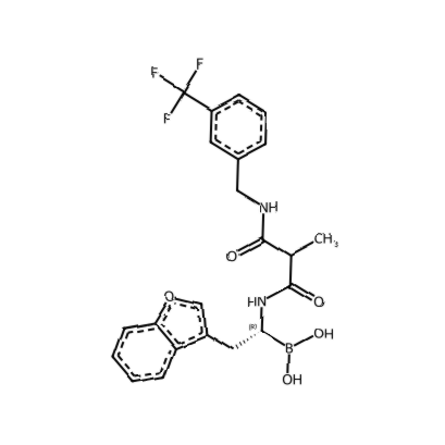 CC(C(=O)NCc1cccc(C(F)(F)F)c1)C(=O)N[C@@H](Cc1coc2ccccc12)B(O)O